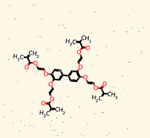 C=C(C)C(=O)O/C=C/Oc1ccc(-c2ccc(O/C=C/OC(=O)C(=C)C)c(O/C=C/OC(=O)C(=C)C)c2)cc1O/C=C/OC(=O)C(=C)C